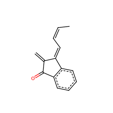 C=C1C(=O)c2ccccc2/C1=C/C=C\C